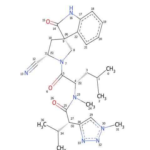 CC(C)C[C@@H](C(=O)N1C[C@]2(C[C@H]1C#N)C(=O)Nc1ccccc12)N(C)C(=O)[C@H](c1cn(C)nn1)C(C)C